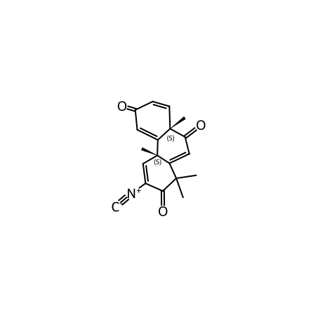 [C-]#[N+]C1=C[C@@]2(C)C(=CC(=O)[C@@]3(C)C=CC(=O)C=C23)C(C)(C)C1=O